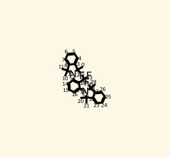 CC1(C)c2ccccc2C(C)(C)N1c1cccc(N2C(C)(C)c3ccccc3C2(C)C)c1C(F)(F)F